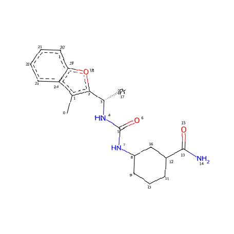 Cc1c([C@@H](NC(=O)NC2CCCC(C(N)=O)C2)C(C)C)oc2ccccc12